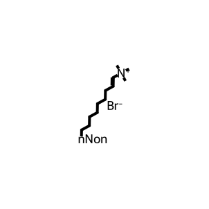 CCCCCCCCCCCCCCCCC=C[N+](C)(C)C.[Br-]